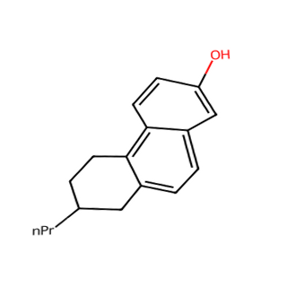 CCCC1CCc2c(ccc3cc(O)ccc23)C1